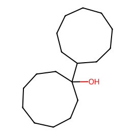 OC1(C2CCCCCCCC2)CCCCCCCC1